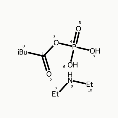 CCC(C)C(=O)OP(=O)(O)O.CCNCC